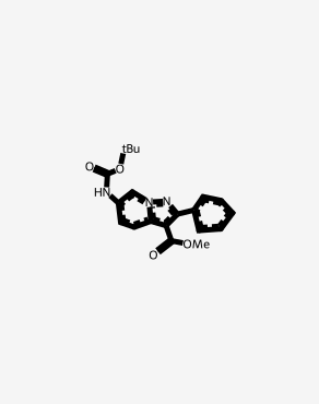 COC(=O)c1c(-c2ccccc2)nn2cc(NC(=O)OC(C)(C)C)ccc12